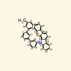 Cc1cccc(-c2cccc(-c3cccc(-n4c5ccccc5c5ccc6c7ccccc7sc6c54)c3)c2)c1